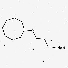 CCCCCCCCCC[P]C1CCCCCCC1